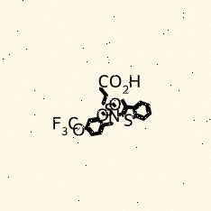 Cc1c(N(Cc2ccc(OC(F)(F)F)cc2)S(=O)(=O)CCCC(=O)O)sc2ccccc12